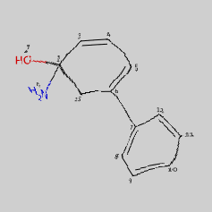 NC1(O)C=CC=C(c2ccccc2)C1